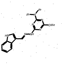 COc1nc(NN=Cc2c[nH]c3ccccc23)nc(N(C(C)C)C(C)C)n1